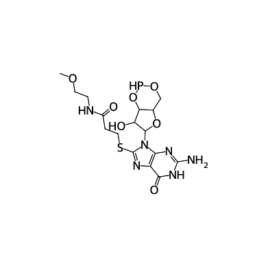 COCCNC(=O)CCSc1nc2c(=O)[nH]c(N)nc2n1C1OC2COPOC2C1O